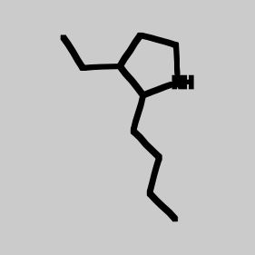 CCCCC1NCCC1CC